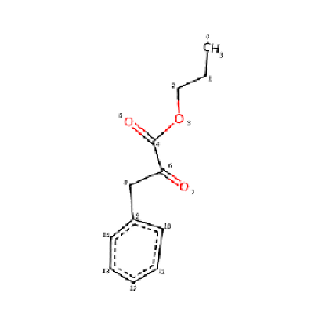 CCCOC(=O)C(=O)Cc1ccccc1